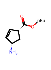 CCCCOC(=O)[C@H]1C=C[C@@H](N)C1